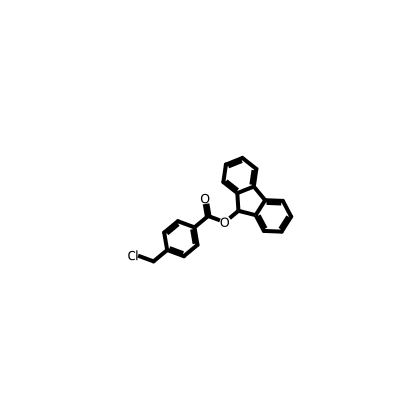 O=C(OC1c2ccccc2-c2ccccc21)c1ccc(CCl)cc1